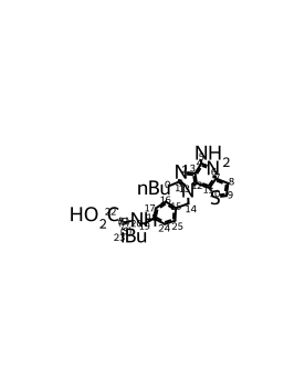 CCCCc1nc2c(N)nc3ccsc3c2n1Cc1ccc(CN[C@H](C(=O)O)[C@@H](C)CC)cc1